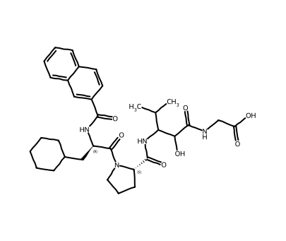 CC(C)C(NC(=O)[C@@H]1CCCN1C(=O)[C@@H](CC1CCCCC1)NC(=O)c1ccc2ccccc2c1)C(O)C(=O)NCC(=O)O